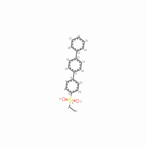 CCS(=O)(=O)c1ccc(-c2ccc(-c3ccccc3)cc2)cc1